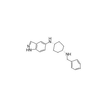 c1ccc(CN[C@H]2CC[C@@H](Nc3ccc4[nH]ncc4c3)CC2)cc1